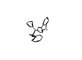 C/C(=C(\c1ccccc1)c1ccc2sc3ccccc3c2c1)c1ccccc1